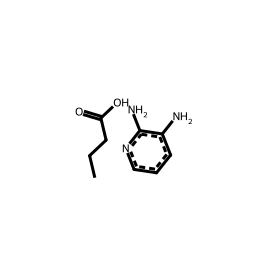 CCCC(=O)O.Nc1cccnc1N